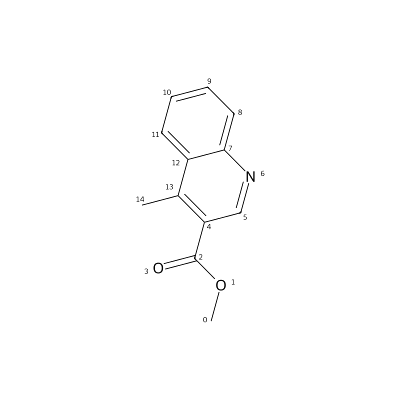 COC(=O)c1cnc2ccccc2c1C